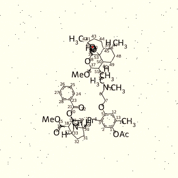 CC(=O)Oc1cc(C(C)C)c(OCCN(C)C)cc1C.COC(=O)[C@H]1[C@@H](OC(=O)c2ccccc2)C[C@@H]2CC[C@H]1N2C.CO[C@H]1O[C@@H]2O[C@]3(C)CC[C@H]4[C@H](C)CC[C@@H]([C@H]1C)C24OO3